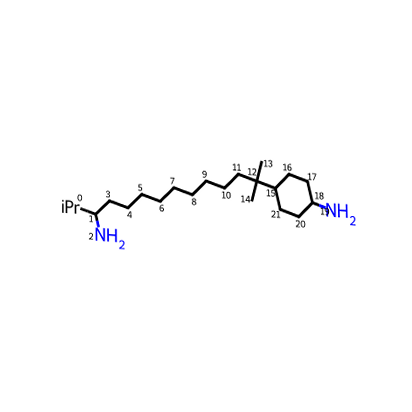 CC(C)C(N)CCCCCCCCCC(C)(C)C1CCC(N)CC1